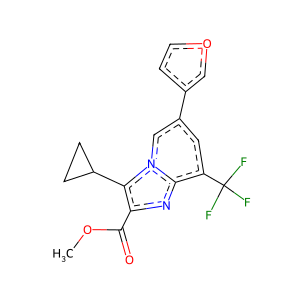 COC(=O)c1nc2c(C(F)(F)F)cc(-c3ccoc3)cn2c1C1CC1